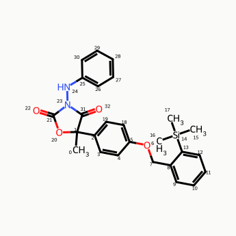 CC1(c2ccc(OCc3ccccc3[Si](C)(C)C)cc2)OC(=O)N(Nc2ccccc2)C1=O